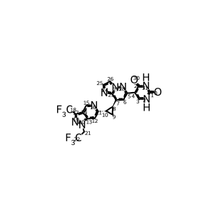 O=c1[nH]cc(-c2cc([C@H]3C[C@@H]3c3cc4c(cn3)c(C(F)(F)F)nn4CC(F)(F)F)c3nccn3n2)c(=O)[nH]1